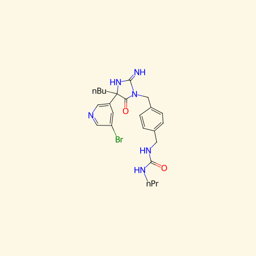 CCCCC1(c2cncc(Br)c2)NC(=N)N(Cc2ccc(CNC(=O)NCCC)cc2)C1=O